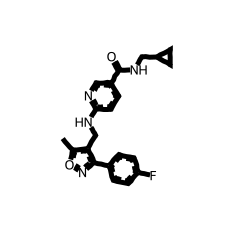 Cc1onc(-c2ccc(F)cc2)c1CNc1ccc(C(=O)NCC2CC2)cn1